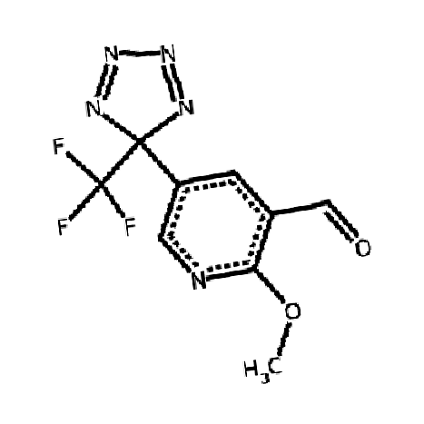 COc1ncc(C2(C(F)(F)F)N=NN=N2)cc1C=O